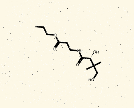 CCCOC(=O)CCNC(=O)[C@H](O)C(C)(C)CO